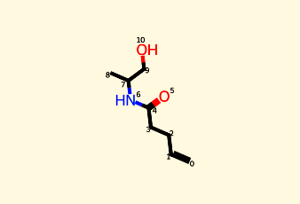 C=CCCC(=O)NC(C)CO